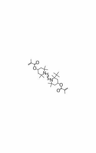 C=C(C)C(=O)OC1CC(C)(C)N(SSN2C(C)(C)CC(OC(=O)C(=C)C)CC2(C)C(C)(C)C)C(C)(C)C1